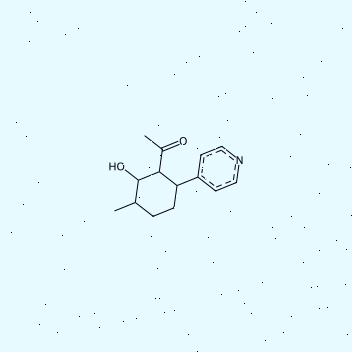 CC(=O)C1C(c2ccncc2)CCC(C)C1O